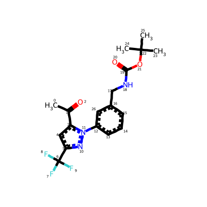 CC(=O)c1cc(C(F)(F)F)nn1-c1cccc(CNC(=O)OC(C)(C)C)c1